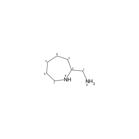 NCC1CCCCCN1